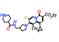 CCOC(=O)c1cc(C2CC2)c2c(C)c(N3CCC(CNC(=O)C4CCNCC4)C3)c(F)cn2c1=O